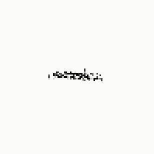 CCCCCCCCCCCCCCCCCCNSCCCCCC.OCCOCCOCCOCCOCCOCCO